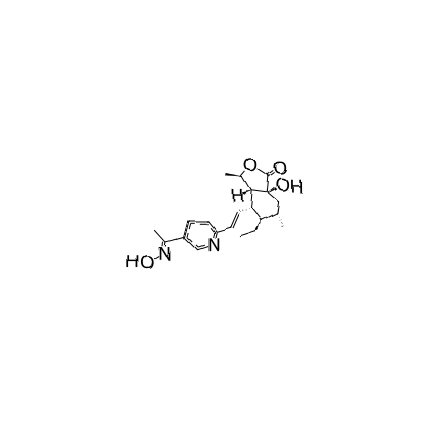 CC[C@H]1[C@H](/C=C/c2ccc(/C(C)=N/O)cn2)[C@@H]2[C@@H](C)OC(=O)[C@]2(O)C[C@@H]1C